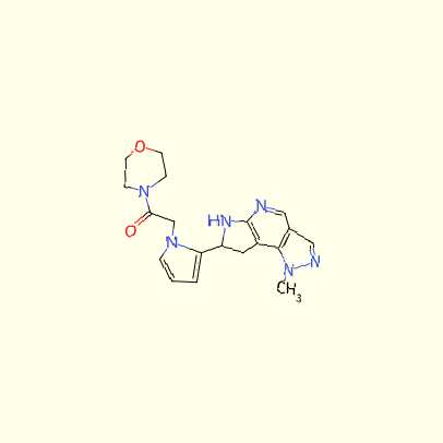 Cn1ncc2cnc3c(c21)CC(c1cccn1CC(=O)N1CCOCC1)N3